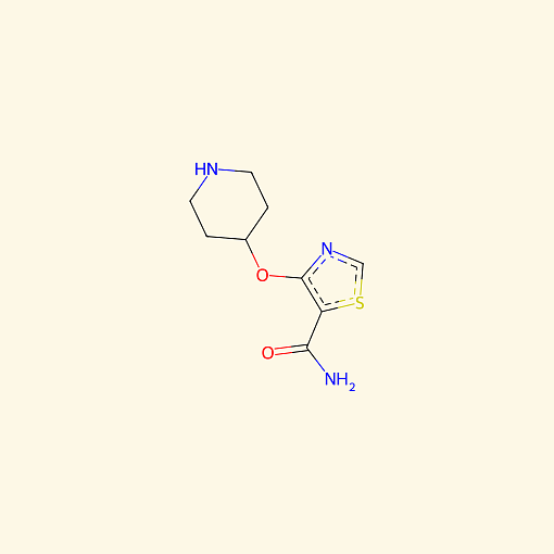 NC(=O)c1scnc1OC1CCNCC1